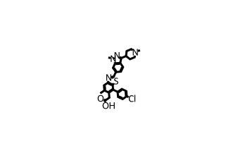 Cc1cc2nc(-c3ccc4c(C5CCN(C)CC5)nn(C)c4c3)sc2c(-c2ccc(Cl)cc2)c1CC(=O)O